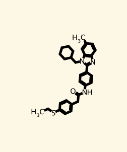 CCSc1ccc(CC(=O)Nc2ccc(-c3nc4ccc(C)cc4n3CC3CCCCC3)cc2)cc1